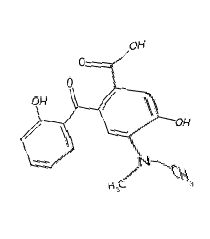 CN(C)c1cc(C(=O)c2ccccc2O)c(C(=O)O)cc1O